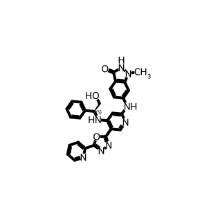 Cn1[nH]c(=O)c2ccc(Nc3cc(N[C@H](CO)c4ccccc4)c(-c4nnc(-c5ccccn5)o4)cn3)cc21